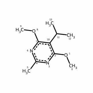 COc1nc(C)nc(OC)c1C(C)C